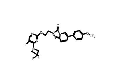 O=c1n(CCOc2ncc(F)c(N3CC(F)(F)C3)n2)nc2ccc(-c3ccc(OC(F)(F)F)cc3)cn12